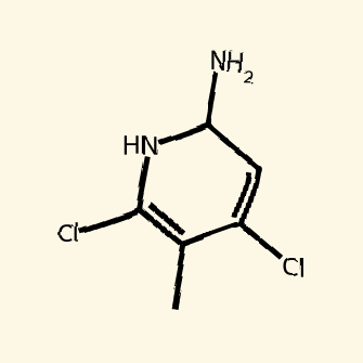 CC1=C(Cl)NC(N)C=C1Cl